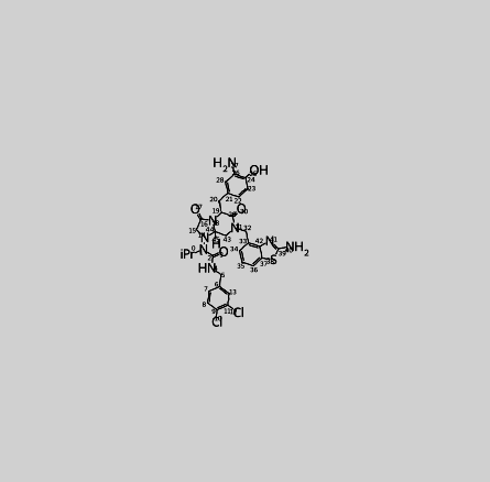 CC(C)N(C(=O)NCc1ccc(Cl)c(Cl)c1)N1CC(=O)N2[C@@H](Cc3ccc(O)c(N)c3)C(=O)N(Cc3cccc4sc(N)nc34)C[C@@H]21